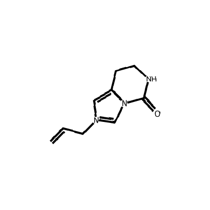 C=CC[n+]1cc2n(c1)C(=O)NCC2